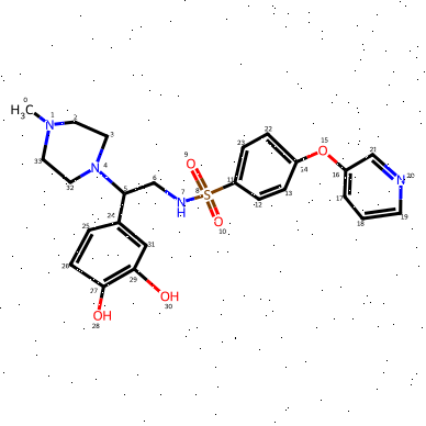 CN1CCN(C(CNS(=O)(=O)c2ccc(Oc3cccnc3)cc2)c2ccc(O)c(O)c2)CC1